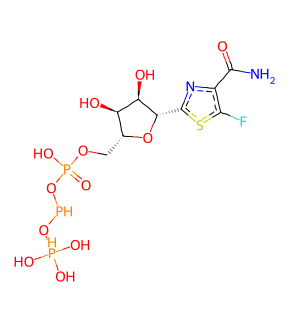 NC(=O)c1nc([C@@H]2O[C@H](COP(=O)(O)OPO[PH](O)(O)O)[C@@H](O)[C@H]2O)sc1F